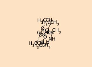 CC(C)CCCCCOC(=O)CCC(=O)OCCCCCC(C)C.CC(C)CCCCCOC(=O)CCC(=O)OCCCCCC(C)C.CC[C@H](CO)CCCCNCCN